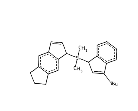 CCC(C)C1=CC([Si](C)(C)C2C=Cc3cc4c(cc32)CCC4)c2ccccc21